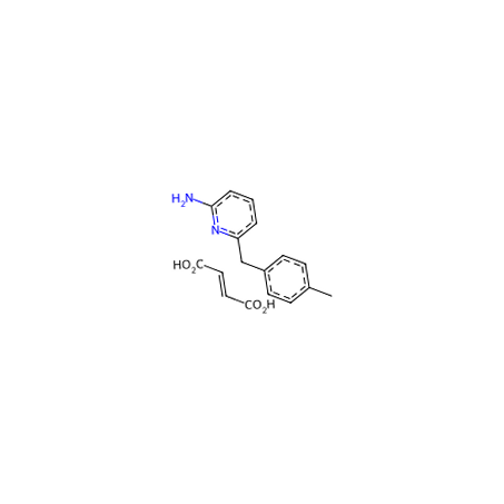 Cc1ccc(Cc2cccc(N)n2)cc1.O=C(O)C=CC(=O)O